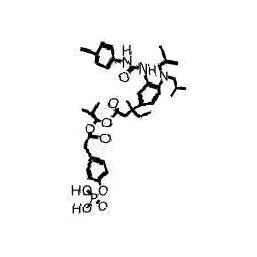 CCC(C)(CC(=O)OC(OC(=O)Cc1ccc(OP(=O)(O)O)cc1)C(C)C)c1ccc(N(CC(C)C)CC(C)C)c(NC(=O)Nc2ccc(C)cc2)c1